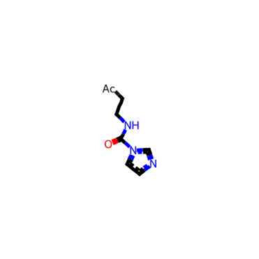 CC(=O)CCNC(=O)n1ccnc1